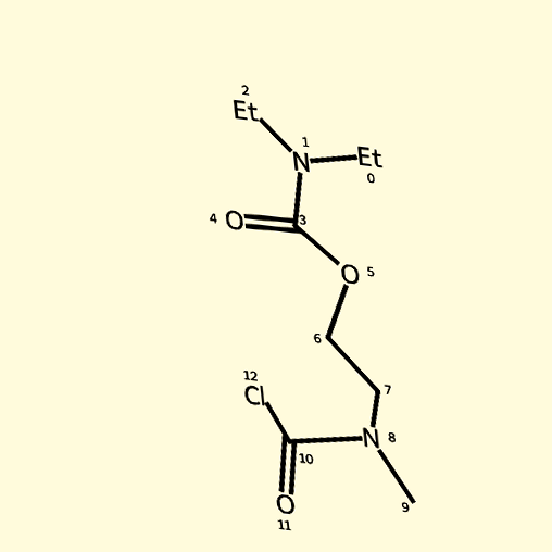 CCN(CC)C(=O)OCCN(C)C(=O)Cl